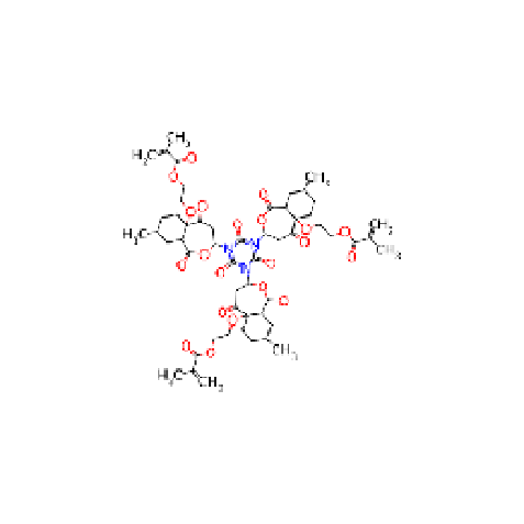 C=C(C)C(=O)OCCOC12CCC(C)CC1C(=O)OC(n1c(=O)n(C3CC(=O)C4(OCCOC(=O)C(=C)C)CCC(C)CC4C(=O)O3)c(=O)n(C3CC(=O)C4(OCCOC(=O)C(=C)C)CCC(C)CC4C(=O)O3)c1=O)CC2=O